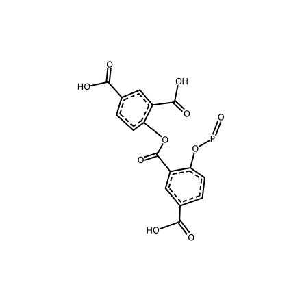 O=POc1ccc(C(=O)O)cc1C(=O)Oc1ccc(C(=O)O)cc1C(=O)O